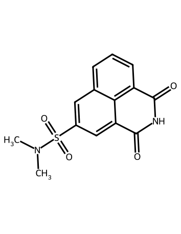 CN(C)S(=O)(=O)c1cc2c3c(cccc3c1)C(=O)NC2=O